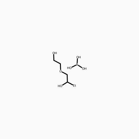 CCC(O)COCCO.OB(O)O